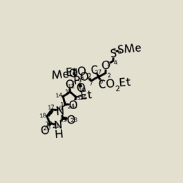 CCOC(=O)C(COCSSC)(COP(=O)(OC)OC1C[C@H](n2ccc(=O)[nH]c2=O)O[C@@H]1CC)C(=O)OCC